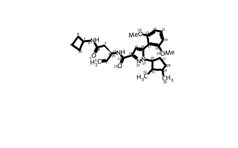 C=C[C@@H](CC(=O)NC1CCC1)NC(=O)c1cc(-c2c(OC)cccc2OC)n(C2CCC(C)C2C)n1